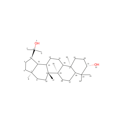 CC(C)(O)[C@@H]1CC[C@]2(C)CC[C@]3(C)C(CCC4[C@@]5(C)CC[C@H](O)C(C)(C)C5CC[C@]43C)C12